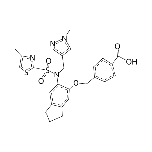 Cc1csc(S(=O)(=O)N(Cc2cnn(C)c2)c2cc3c(cc2OCc2ccc(C(=O)O)cc2)CCC3)n1